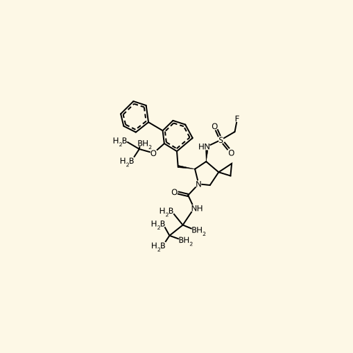 BC(B)(B)Oc1c(C[C@H]2[C@@H](NS(=O)(=O)CF)C3(CC3)CN2C(=O)NC(B)(B)C(B)(B)B)cccc1-c1ccccc1